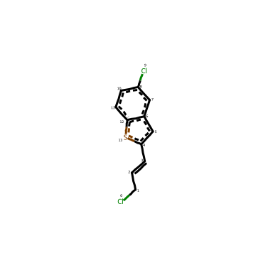 ClC/C=C/c1cc2cc(Cl)ccc2s1